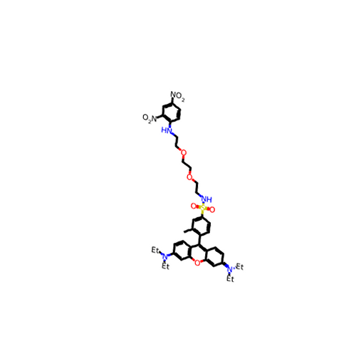 CCN(CC)c1ccc2c(-c3ccc(S(=O)(=O)NCCOCCOCCNc4ccc([N+](=O)[O-])cc4[N+](=O)[O-])cc3C)c3ccc(=[N+](CC)CC)cc-3oc2c1